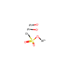 CC(C)[O-].CC(C)[O-].CCS(=O)(=O)[O][Al+2]